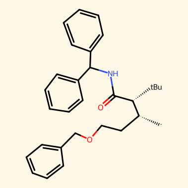 [CH2][C@H](CCOCc1ccccc1)[C@H](C(=O)NC(c1ccccc1)c1ccccc1)C(C)(C)C